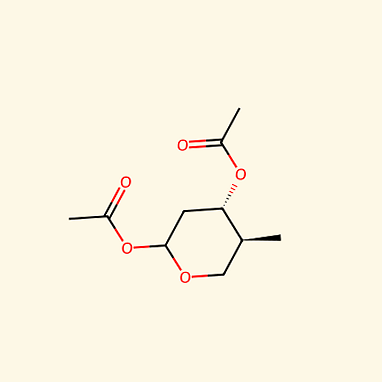 CC(=O)OC1C[C@H](OC(C)=O)[C@@H](C)CO1